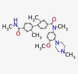 CNC(=O)c1ccc(-c2ccc(C(=O)N(C)c3ccc(OC)c(N4CCN(C)CC4)c3)cc2C)c(C)c1